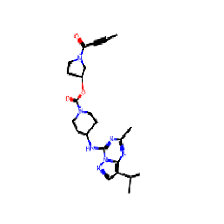 CC#CC(=O)N1CC[C@H](OC(=O)N2CCC(Nc3nc(C)nc4c(C(C)C)cnn34)CC2)C1